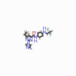 CC(F)(F)CNC1CCC(NC(=O)c2nc(-n3ccnc3)nc3ccsc23)CC1